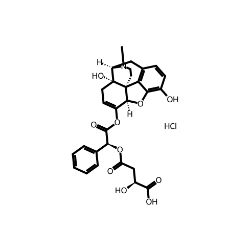 CN1CC[C@]23c4c5ccc(O)c4O[C@H]2C(OC(=O)[C@@H](OC(=O)C[C@H](O)C(=O)O)c2ccccc2)=CC[C@@]3(O)[C@H]1C5.Cl